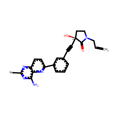 [2H]c1nc(N)c2nc(-c3cccc(C#C[C@]4(O)CCN(CC=C)C4=O)c3)ccc2n1